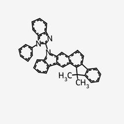 CC1(C)c2ccccc2-c2ccc3cc4c(cc3c21)c1ccccc1n4-c1nc2ccccc2n1-c1ccccc1